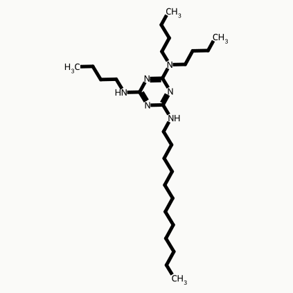 CCCCCCCCCCCCNc1nc(NCCCC)nc(N(CCCC)CCCC)n1